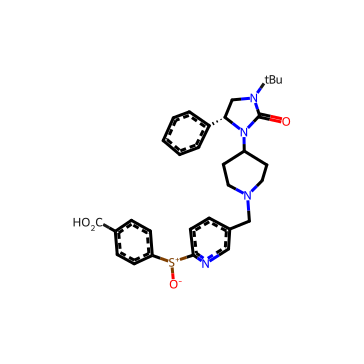 CC(C)(C)N1C[C@@H](c2ccccc2)N(C2CCN(Cc3ccc([S+]([O-])c4ccc(C(=O)O)cc4)nc3)CC2)C1=O